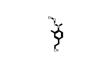 CCOSN(C)c1ccc(CCC#N)cc1C